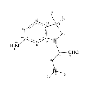 CN(C)CC(C=O)N1CC(C)(C)c2ccc(N)cc21